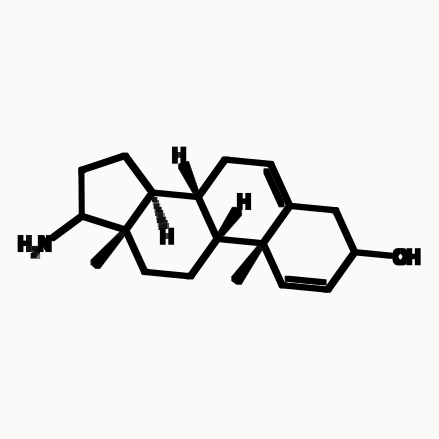 C[C@]12C=CC(O)CC1=CC[C@@H]1[C@H]2CC[C@]2(C)C(N)CC[C@@H]12